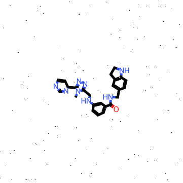 Cn1c(CNc2cccc(C(=O)NCc3ccc4c(c3)CCN4)c2)nnc1-c1ccncn1